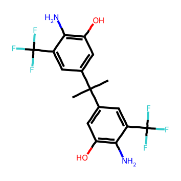 CC(C)(c1cc(O)c(N)c(C(F)(F)F)c1)c1cc(O)c(N)c(C(F)(F)F)c1